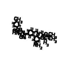 Cc1ccc(S(=O)(=O)Nc2nc(-c3ccc(CN(CC(=O)OC(C)(C)C)c4ccc(N)cc4)cc3)no2)cc1